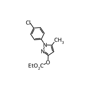 CCOC(=O)Oc1cc(C)n(-c2ccc(Cl)cc2)n1